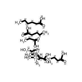 CC(=O)O.CC(=O)O.CC(C)C(=O)O.CC(C)CC(=O)O.CCC(=O)O.CCCC(=O)O.CCCCC(=O)O.CCCCCC(=O)O